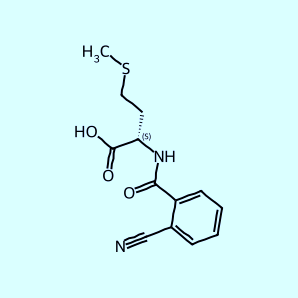 CSCC[C@H](NC(=O)c1ccccc1C#N)C(=O)O